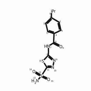 CC(C)c1ccc(C(=O)Nc2nnc(S(N)(=O)=O)s2)cc1